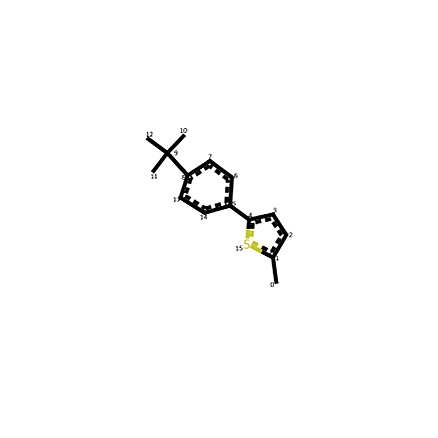 Cc1ccc(-c2ccc(C(C)(C)C)cc2)s1